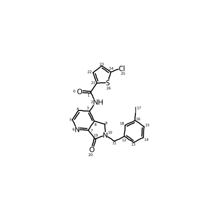 O=C(Nc1ccnc2c1CN(Cc1cccc(I)c1)C2=O)c1ccc(Cl)s1